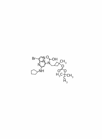 CC(C)(C)OC(=O)OC1(C)CC(CN(C(=O)O)c2cc(NC3CCCC3)nc3c(Br)cnn23)C1